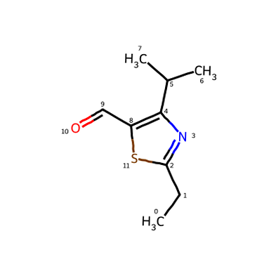 CCc1nc(C(C)C)c(C=O)s1